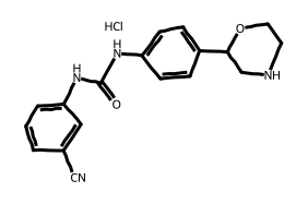 Cl.N#Cc1cccc(NC(=O)Nc2ccc(C3CNCCO3)cc2)c1